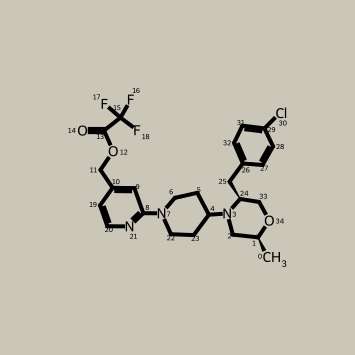 C[C@H]1CN(C2CCN(c3cc(COC(=O)C(F)(F)F)ccn3)CC2)[C@@H](Cc2ccc(Cl)cc2)CO1